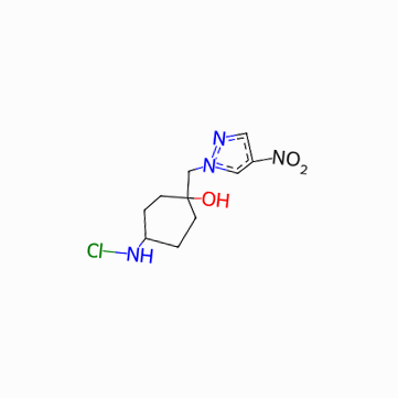 O=[N+]([O-])c1cnn(CC2(O)CCC(NCl)CC2)c1